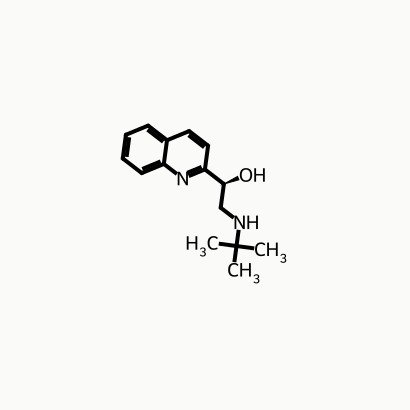 CC(C)(C)NC[C@H](O)c1ccc2ccccc2n1